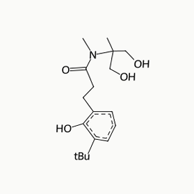 CN(C(=O)CCc1cccc(C(C)(C)C)c1O)C(C)(CO)CO